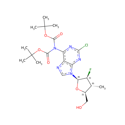 C[C@H]1[C@H](F)[C@H](n2cnc3c(N(C(=O)OC(C)(C)C)C(=O)OC(C)(C)C)nc(Cl)nc32)O[C@@H]1CO